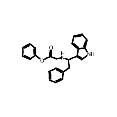 O=C(CNC(Cc1ccccc1)c1c[nH]c2ccccc12)Oc1ccccc1